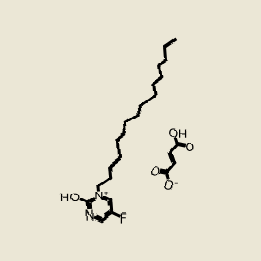 CCCCCCCCCCCCCCCC[n+]1cc(F)cnc1O.O=C([O-])C=CC(=O)O